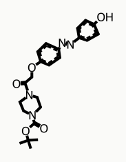 CC(C)(C)OC(=O)N1CCN(C(=O)COc2ccc(N=Nc3ccc(O)cc3)cc2)CC1